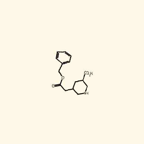 O=C(CC1CNCC(C(=O)O)C1)OCc1ccccc1